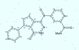 CNC(=O)c1cc(C(=O)c2n[nH]c(=O)c3c(-c4ccncc4)csc23)ccn1